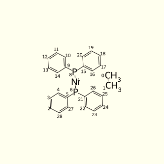 CC.c1ccc([P]([Ni][P](c2ccccc2)c2ccccc2)c2ccccc2)cc1